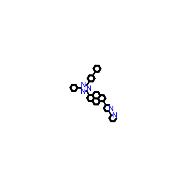 c1ccc(-c2ccc(-c3nc(-c4ccccc4)nc(-c4ccc5ccc6c(-c7ccc(-c8ccccn8)nc7)ccc7ccc4c5c76)n3)cc2)cc1